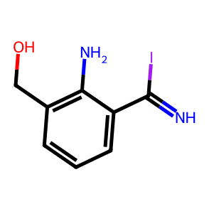 N=C(I)c1cccc(CO)c1N